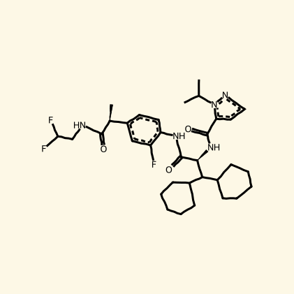 CC(C)n1nccc1C(=O)N[C@H](C(=O)Nc1ccc([C@H](C)C(=O)NCC(F)F)cc1F)C(C1CCCCC1)C1CCCCC1